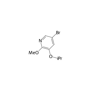 COc1ncc(Br)cc1OC(C)C